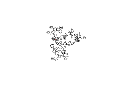 CC(C)C[C@@H](N)C(=O)NC1C(=O)NC(C(N)=O)CC(=O)N[C@H]2C(=O)NC3C(=O)N[C@H](C(=O)N[C@@H](C(=O)O)c4cc(O)cc(O)c4-c4cc3ccc4O)[C@H](O)c3ccc(c(Cl)c3)Oc3cc2cc(c3OC2OC(CO)C(O)C(O)C2OC2CC(C)(NCC(OCc3ccc(-c4ccccc4)cc3)C(=O)O)C(O)C(C)O2)Oc2ccc(cc2Cl)[C@H]1O